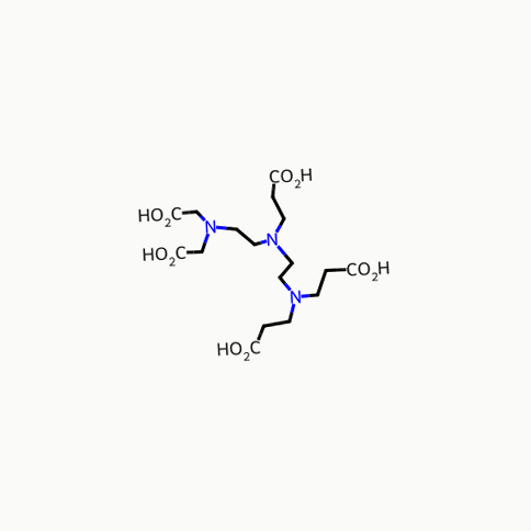 O=C(O)CCN(CCC(=O)O)CCN(CCC(=O)O)CCN(CC(=O)O)CC(=O)O